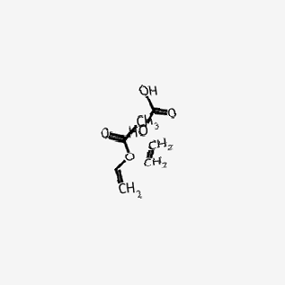 C=C.C=COC(C)=O.O=C(O)O